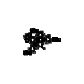 Cc1cc2c3c(c1)N(c1ccc(C(C)(C)C)cc1)c1cc4c(cc1B3c1cc(C(C)(C)C)ccc1N2c1ccc(C(C)(C)C)cc1)OCCO4